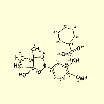 COc1ncc(B2OC(C)(C)C(C)(C)O2)cc1NS(=O)(=O)C1CCCCC1